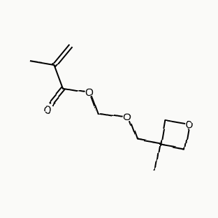 C=C(C)C(=O)OCOCC1(C)COC1